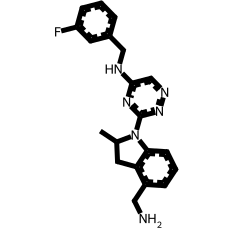 CC1Cc2c(CN)cccc2N1c1nncc(NCc2cccc(F)c2)n1